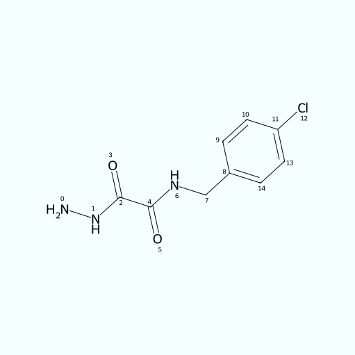 NNC(=O)C(=O)NCc1ccc(Cl)cc1